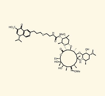 CC[C@H]1OC(=O)[C@H](C)[C@@H](O[C@H]2C[C@@](C)(OC)[C@@H](OC(=O)NCCOCCCc3ccc4c(c3)c(=O)c(C(=O)O)cn4N(C)C)[C@H](C)O2)[C@H](C)[C@@H](O[C@@H]2O[C@H](C)C[C@H](N(C)C)[C@H]2O)[C@](C)(O)C[C@@H](C)/C(=N\OC)[C@@H](C)[C@@H](O)[C@]1(C)O